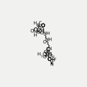 Cc1cccc(OCC(=O)NCCCNC(=O)CCCc2ccc(N3C(=S)N(c4ccc(C#N)c(C(F)(F)F)c4F)C(=O)C3(C)C)cn2)c1C(=O)N(C=O)C1CCC(=O)NC1=O